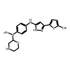 CCCN(c1ccc(Nc2cc(-c3ccc(C#N)s3)n[nH]2)cc1)C1CNCCO1